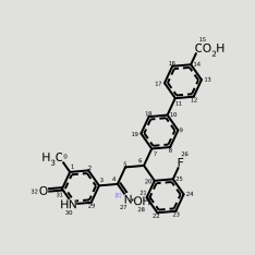 Cc1cc(/C(CC(c2ccc(-c3ccc(C(=O)O)cc3)cc2)c2ccccc2F)=N/O)c[nH]c1=O